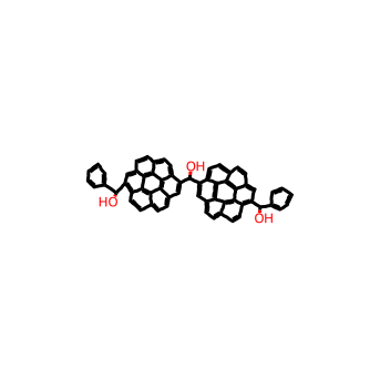 OC(c1ccccc1)c1cc2ccc3ccc4c(C(O)c5cc6ccc7ccc8c(C(O)c9ccccc9)cc9ccc%10ccc5c5c%10c9c8c7c65)cc5ccc6ccc1c1c2c3c4c5c61